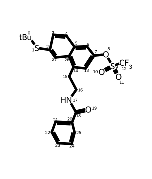 CC(C)(C)Sc1ccc2cc(OS(=O)(=O)C(F)(F)F)cc(CCNC(=O)c3ccccc3)c2c1